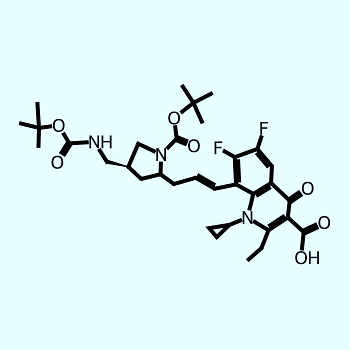 CCc1c(C(=O)O)c(=O)c2cc(F)c(F)c(C=CCC3C[C@@H](CNC(=O)OC(C)(C)C)CN3C(=O)OC(C)(C)C)c2n1C1CC1